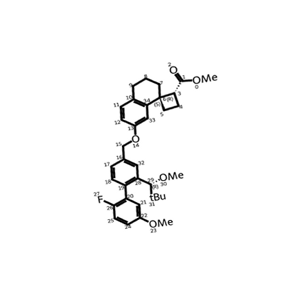 COC(=O)[C@@H]1CC[C@@]12CCCc1ccc(OCc3ccc(-c4cc(OC)ccc4F)c([C@H](OC)C(C)(C)C)c3)cc12